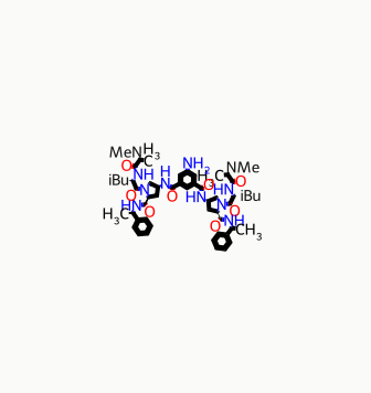 CC[C@H](C)C(NC(=O)[C@H](C)NC)C(=O)N1C[C@@H](NC(=O)c2cc(N)cc(C(=O)N[C@H]3C[C@@H](C(=O)N[C@H](C)c4ccccc4)N(C(=O)C(NC(=O)[C@H](C)NC)[C@@H](C)CC)C3)c2)C[C@H]1C(=O)NC(C)c1ccccc1